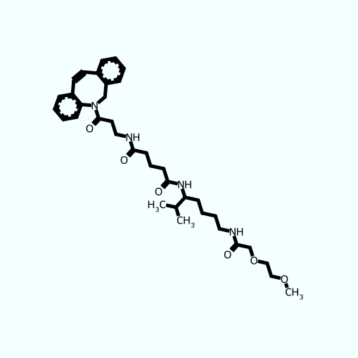 COCCOCC(=O)NCCCCC(NC(=O)CCCC(=O)NCCC(=O)N1Cc2ccccc2C#Cc2ccccc21)C(C)C